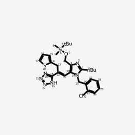 CCCCc1nc(CO[Si](C)(C)C(C)(C)C)c(C=C(Cc2cccs2)c2nnn[nH]2)n1Cc1ccccc1Cl